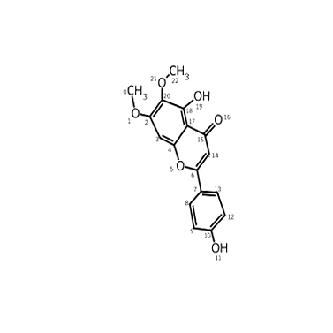 COc1cc2oc(-c3ccc(O)cc3)[c]c(=O)c2c(O)c1OC